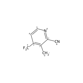 [CH2]c1c(C(F)(F)F)ccnc1C#N